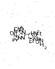 CCNC(CC(N)=O)(NCC)c1ccc(-c2nc3c(=O)n(C)c(=O)nc-3n(C(C)C)n2)cc1